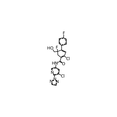 O=C(Nc1cnc(-n2nccn2)c(Cl)c1)C1=C(Cl)C=C(c2ccc(F)cc2)C(F)(CO)C1